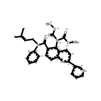 CC(C)=CCN(C(=O)c1ccc2nc(-c3cccnc3)ccc2c1N(C(=O)OC(C)(C)C)C(=O)OC(C)(C)C)c1ccccc1